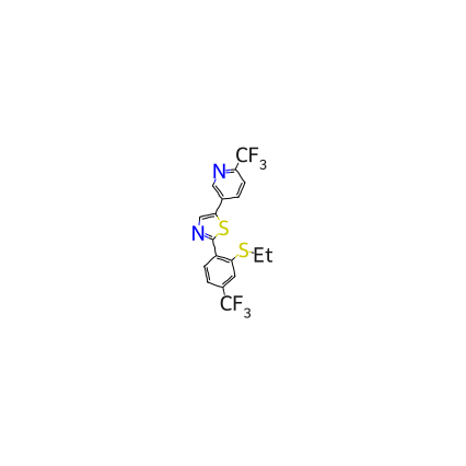 CCSc1cc(C(F)(F)F)ccc1-c1ncc(-c2ccc(C(F)(F)F)nc2)s1